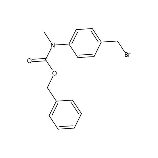 CN(C(=O)OCc1ccccc1)c1ccc(CBr)cc1